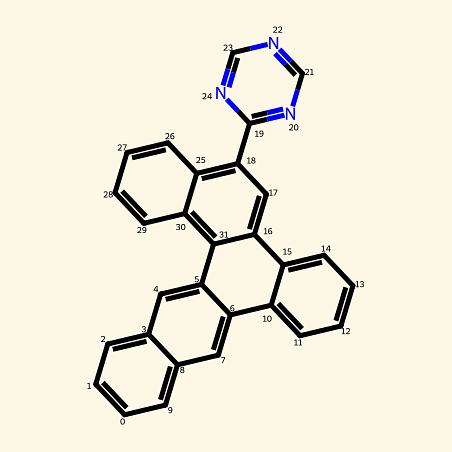 c1ccc2cc3c(cc2c1)c1ccccc1c1cc(-c2ncncn2)c2ccccc2c13